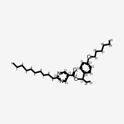 CCCCCCCCCCc1ncc(C(=O)OC(CC)c2ccc(OCCCCCC)cc2)cn1